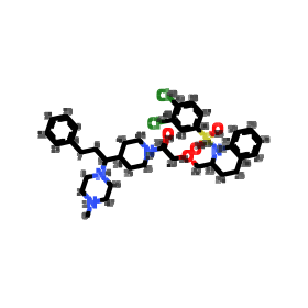 CN1CCN(C(CCc2ccccc2)C2CCN(C(=O)COCC3CCc4ccccc4N3S(=O)(=O)c3ccc(Cl)c(Cl)c3)CC2)CC1